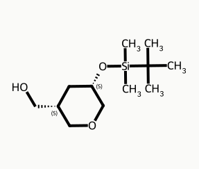 CC(C)(C)[Si](C)(C)O[C@@H]1COC[C@H](CO)C1